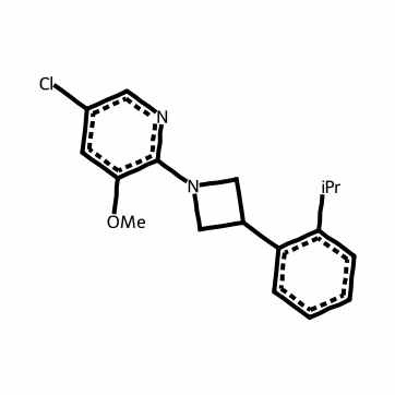 COc1cc(Cl)cnc1N1CC(c2ccccc2C(C)C)C1